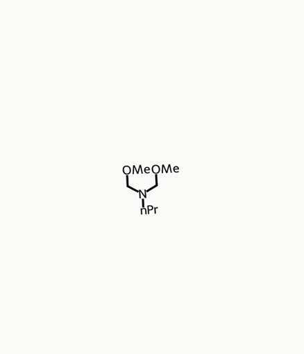 CCCN(COC)COC